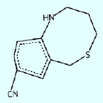 N#Cc1ccc2c(c1)CSCCCN2